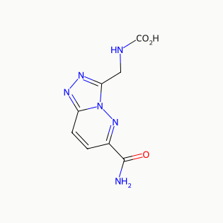 NC(=O)c1ccc2nnc(CNC(=O)O)n2n1